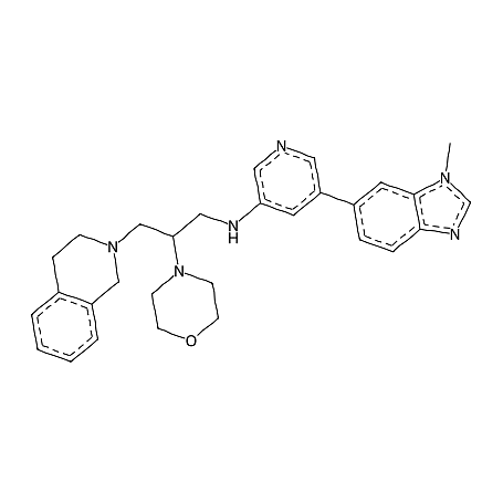 Cn1cnc2ccc(-c3cncc(NCC(CN4CCc5ccccc5C4)N4CCOCC4)c3)cc21